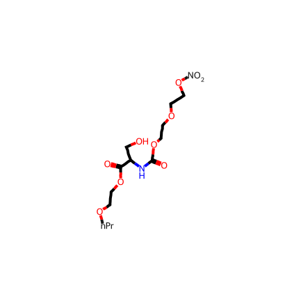 CCCOCCOC(=O)C(CO)NC(=O)OCCOCCO[N+](=O)[O-]